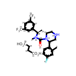 Cc1cc(F)ccc1C1CNCCN1C(=O)N(C)[C@H](C)c1cc(C(F)(F)F)cc(C(F)(F)F)c1.O=C(O)CCC(=O)O